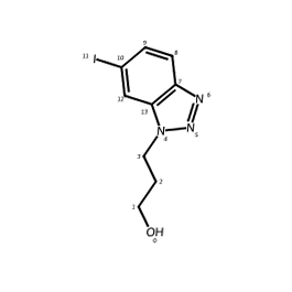 OCCCn1nnc2ccc(I)cc21